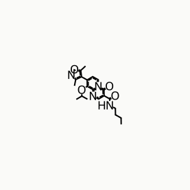 CCCCNC(=O)c1cnc2c(OC(C)C)c(-c3c(C)noc3C)ccn2c1=O